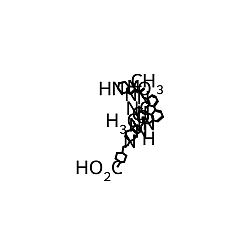 Cn1c(C(=O)Nc2cccc(-c3cccc(NC(=O)c4nc5c(n4C)CCNC5)c3C#N)c2Cl)nc2c1CCN(CCC1CCC(C(=O)O)CC1)C2